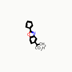 CC(C(=O)O)c1ccc2oc(-c3ccccc3)nc2c1